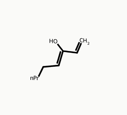 C=CC(O)=CCCCC